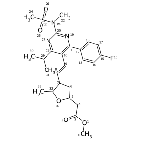 COC(=O)CC1CC(/C=C/c2c(-c3ccc(F)cc3)nc(N(C)S(C)(=O)=O)nc2C(C)C)C(C)O1